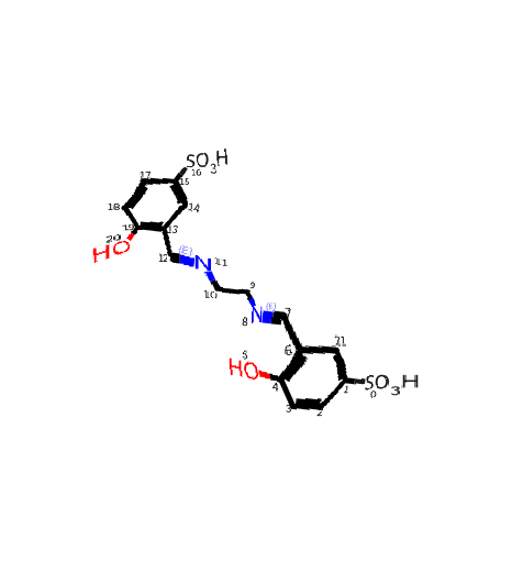 O=S(=O)(O)c1ccc(O)c(/C=N/CC/N=C/c2cc(S(=O)(=O)O)ccc2O)c1